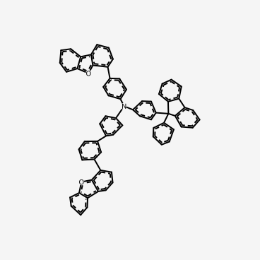 c1ccc(C2(c3ccc(N(c4ccc(-c5cccc(-c6cccc7c6oc6ccccc67)c5)cc4)c4ccc(-c5cccc6c5oc5ccccc56)cc4)cc3)c3ccccc3-c3ccccc32)cc1